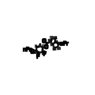 CCCOc1ccc(OC(=O)C2=CCC3C(CCC)CCC23)c(F)c1F